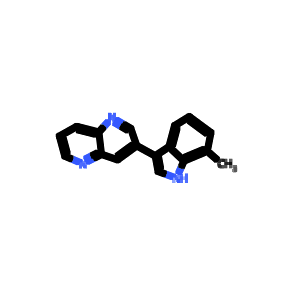 Cc1cccc2c(-c3cnc4cccnc4c3)c[nH]c12